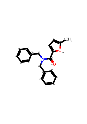 Cc1ccc(C(=O)N(Cc2ccccc2)Cc2ccccc2)o1